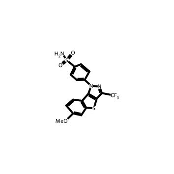 COc1ccc2c(c1)sc1c(C(F)(F)F)nn(-c3ccc(S(N)(=O)=O)cc3)c12